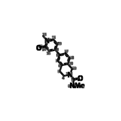 CNC(=O)N1CCc2cc(-c3ccn(C)c(=O)c3)ccc2C1